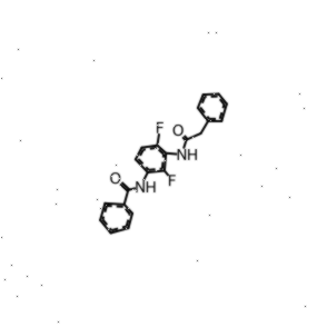 O=C(Cc1ccccc1)Nc1c(F)ccc(NC(=O)c2ccccc2)c1F